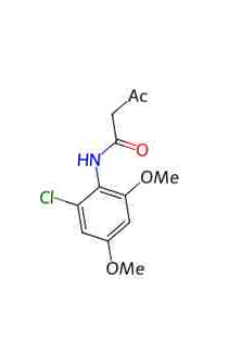 COc1cc(Cl)c(NC(=O)CC(C)=O)c(OC)c1